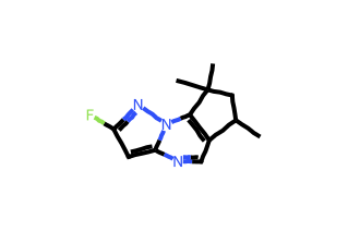 CC1CC(C)(C)c2c1cnc1cc(F)nn21